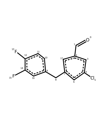 O=Cc1cc(Cl)cc(Cc2ccc(F)c(F)c2)c1